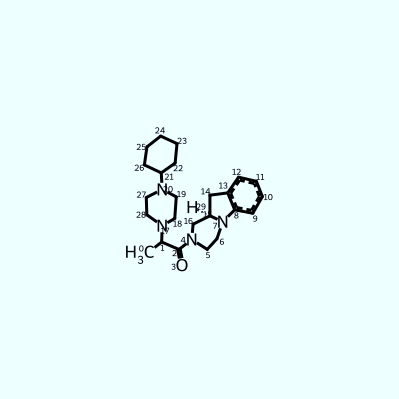 CC(C(=O)N1CCN2c3ccccc3C[C@@H]2C1)N1CCN(C2CCCCC2)CC1